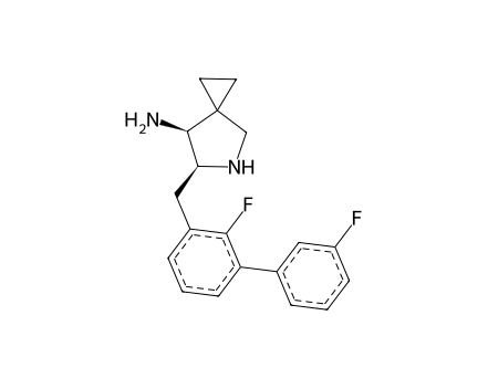 N[C@@H]1[C@H](Cc2cccc(-c3cccc(F)c3)c2F)NCC12CC2